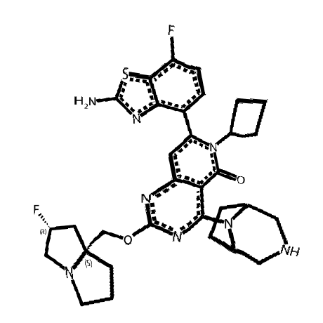 Nc1nc2c(-c3cc4nc(OC[C@@]56CCCN5C[C@H](F)C6)nc(N5C6CCC5CNC6)c4c(=O)n3C3CCC3)ccc(F)c2s1